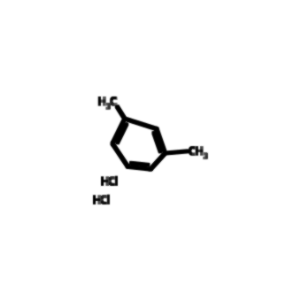 Cc1cccc(C)c1.Cl.Cl